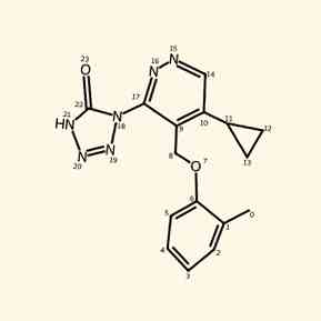 Cc1ccccc1OCc1c(C2CC2)cnnc1-n1nn[nH]c1=O